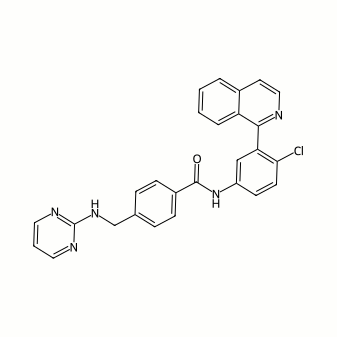 O=C(Nc1ccc(Cl)c(-c2nccc3ccccc23)c1)c1ccc(CNc2ncccn2)cc1